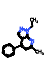 CCn1ncc2c(-c3ccccc3)cc(C)nc21